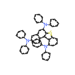 c1ccc(N(c2ccccc2)c2ccc3c(c2)cc(N(c2ccccc2)c2ccccc2)c2sc4cccc(N(c5ccccc5)c5ccccc5)c4c23)cc1